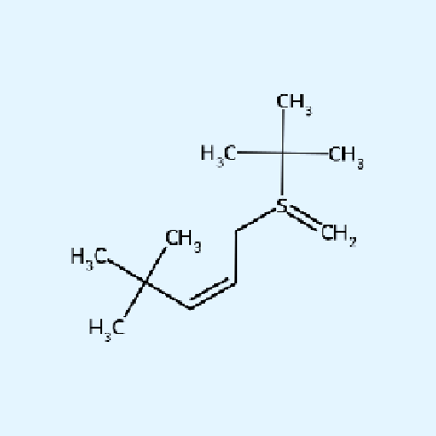 C=S(C/C=C\C(C)(C)C)C(C)(C)C